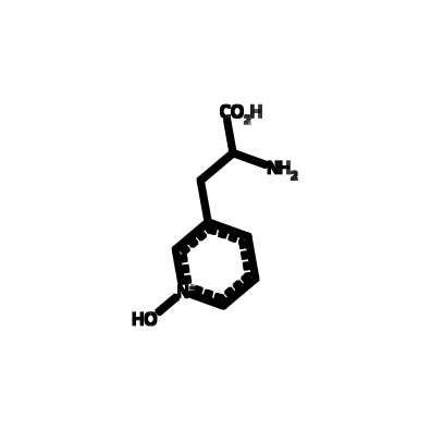 NC(Cc1ccc[n+](O)c1)C(=O)O